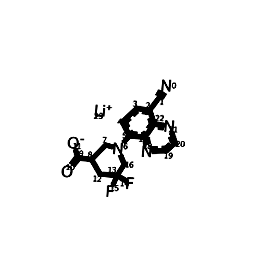 N#Cc1ccc(N2CC(C(=O)[O-])CC(F)(F)C2)c2nccnc12.[Li+]